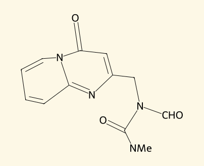 CNC(=O)N(C=O)Cc1cc(=O)n2ccccc2n1